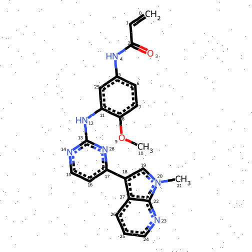 C=CC(=O)Nc1ccc(OC)c(Nc2nccc(-c3cn(C)c4ncccc34)n2)c1